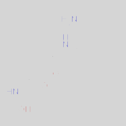 Nc1cccc2cccc(NC(=O)c3ccccc3C(=O)NO)c12